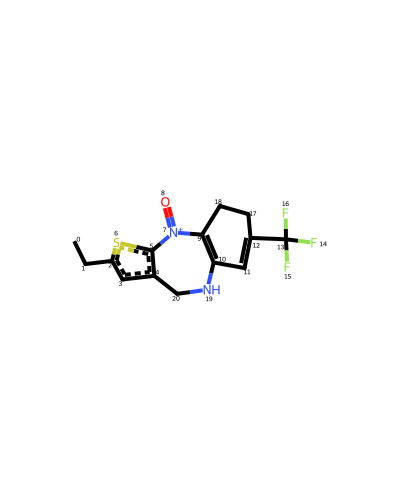 CCc1cc2c(s1)[N+](=O)C1=C(C=C(C(F)(F)F)CC1)NC2